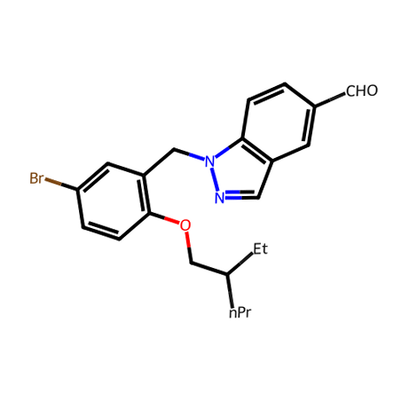 CCCC(CC)COc1ccc(Br)cc1Cn1ncc2cc(C=O)ccc21